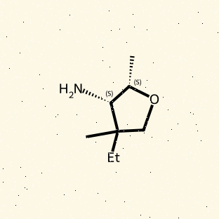 CCC1(C)CO[C@@H](C)[C@H]1N